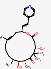 C/C1=C\C[C@@H](C=Cc2ccncc2)OC(=O)C[C@H](O)C(C)(C)C(=O)[C@H](C)[C@@H](O)[C@@H](C)CCC1